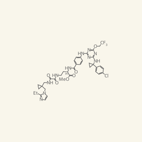 CCc1nccn1CC1(CNC(=O)C(=O)NCC[C@@H](NC(=O)c2ccc(Nc3nc(NC4(c5ccc(Cl)cc5)CC4)nc(OCC(F)(F)F)n3)cc2)C(=O)OC)CC1